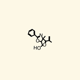 C=C(C)C(=O)C1(C)N=C(c2ccccc2)OC1CO